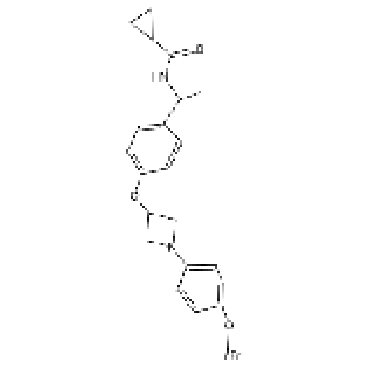 CCCOc1ccc(N2CC(Oc3ccc(C(C)NC(=O)C4CC4)cc3)C2)cc1